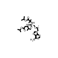 CC(C)OC(=O)CC(N[P@@](=O)(CO[C@H](C)Cn1cnc2c(N)ncnc21)NC(C)(C)C(=O)OC(C)C)C(C)C